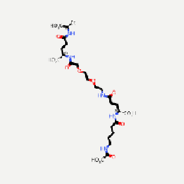 CC[C@@H](NC(=O)CC[C@@H](NC(=O)COCCOCCNC(=O)CC[C@@H](NC(=O)CCCCNC(=O)C(=O)O)C(=O)O)C(=O)O)C(=O)O